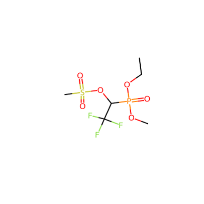 CCOP(=O)(OC)C(OS(C)(=O)=O)C(F)(F)F